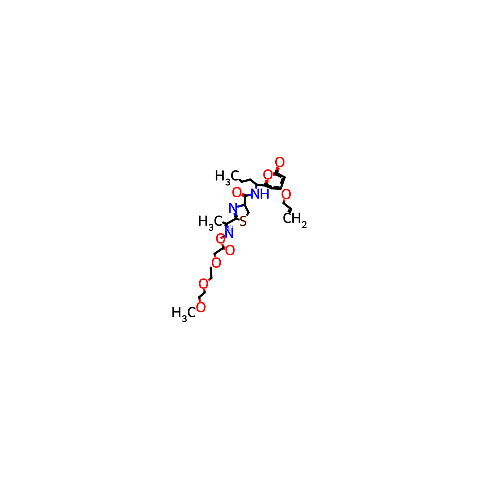 C=CCOc1cc(C(CCC)NC(=O)C2CSC(/C(C)=N/OC(=O)COCCOCCOC)=N2)oc(=O)c1